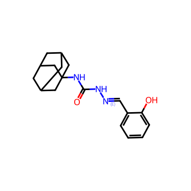 O=C(N/N=C/c1ccccc1O)NC12CC3CC(CC(C3)C1)C2